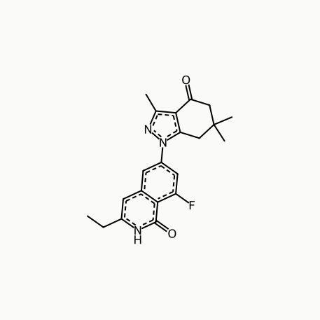 CCc1cc2cc(-n3nc(C)c4c3CC(C)(C)CC4=O)cc(F)c2c(=O)[nH]1